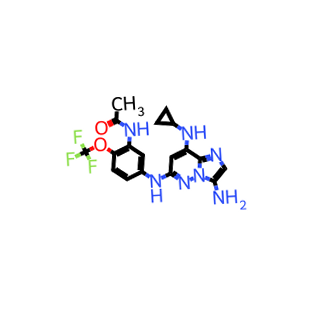 CC(=O)Nc1cc(Nc2cc(NC3CC3)c3ncc(N)n3n2)ccc1OC(F)(F)F